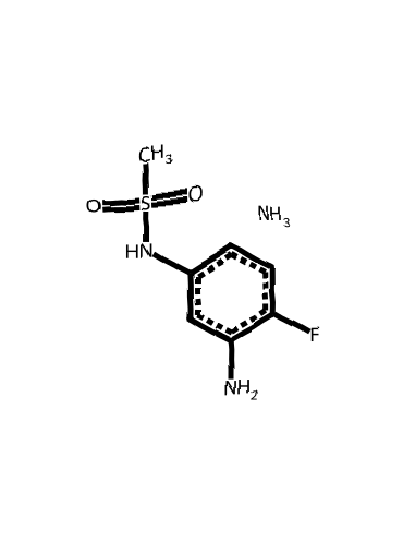 CS(=O)(=O)Nc1ccc(F)c(N)c1.N